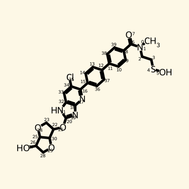 CN(CCSO)C(=O)c1ccc(-c2ccc(-c3nc4nc(OC5COC6C(O)COC56)[nH]c4cc3Cl)cc2)cc1